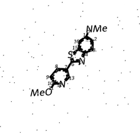 CNc1ccc2nc(-c3ccc(OC)nc3)sc2c1